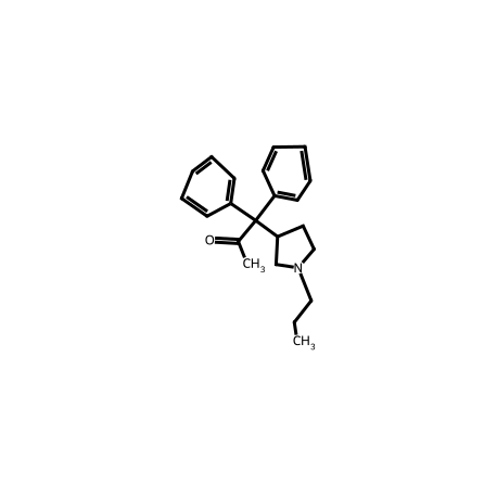 CCCN1CCC(C(C(C)=O)(c2ccccc2)c2ccccc2)C1